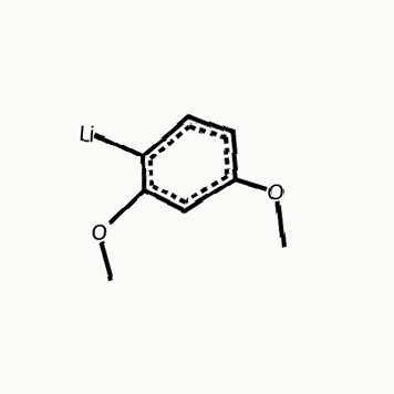 [Li][c]1ccc(OC)cc1OC